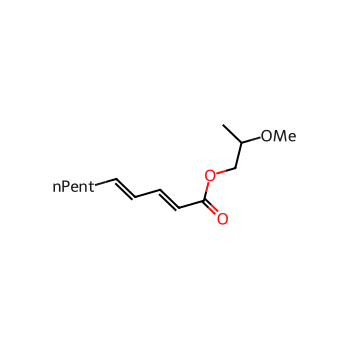 CCCCCC=CC=CC(=O)OCC(C)OC